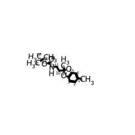 Cc1ccc2c(c1)OC(C)(CCNC(=O)OC(C)(C)C)O2